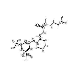 CN(C)CCCN(C)C(=O)CSC1CCCCC1Sc1cc(C(C)(C)C)cc(C(C)(C)C)c1